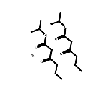 CCCC(=O)CC(=O)OC(C)C.CCCC(=O)CC(=O)OC(C)C.[Ti]